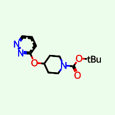 CC(C)(C)OC(=O)N1CCC(Oc2cccnn2)CC1